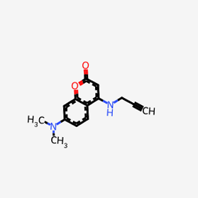 C#CCNc1cc(=O)oc2cc(N(C)C)ccc12